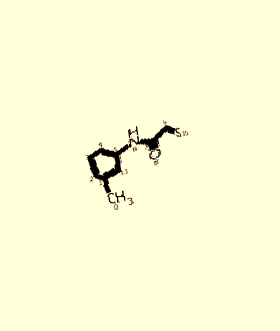 Cc1cccc(NC(=O)C=S)c1